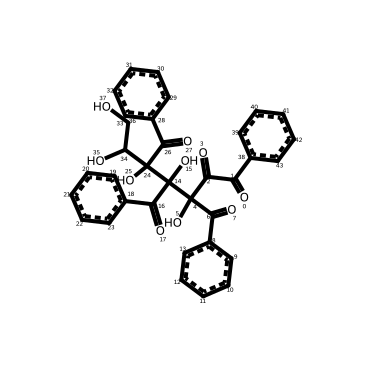 O=C(C(=O)C(O)(C(=O)c1ccccc1)C(O)(C(=O)c1ccccc1)C(O)(C(=O)c1ccccc1)C(O)CO)c1ccccc1